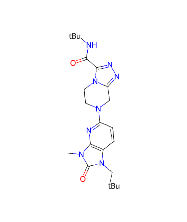 Cn1c(=O)n(CC(C)(C)C)c2ccc(N3CCn4c(nnc4C(=O)NC(C)(C)C)C3)nc21